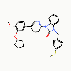 COc1ccc(-c2ccc(-n3c(=O)n(Cc4ccc(SC)cc4)c4ccccc43)nc2)cc1OC1CCCC1